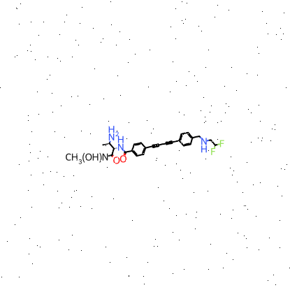 C[C@@H](N)[C@H](NC(=O)c1ccc(C#CC#Cc2ccc(CNCC(F)F)cc2)cc1)C(=O)N(C)O